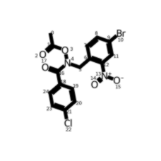 CC(=O)ON(Cc1ccc(Br)cc1[N+](=O)[O-])C(=O)c1ccc(Cl)cc1